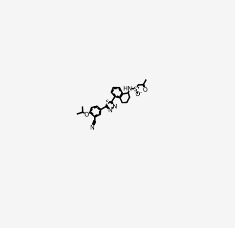 CC(=O)C[S+]([O-])NC1CCCc2c(-c3nnc(-c4ccc(OC(C)C)c(C#N)c4)s3)cccc21